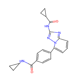 O=C(NC1CC1)c1ccc(-c2cccc3nc(NC(=O)C4CC4)nn23)cc1